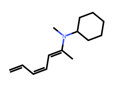 C=C/C=C\C=C(/C)N(C)C1CCCCC1